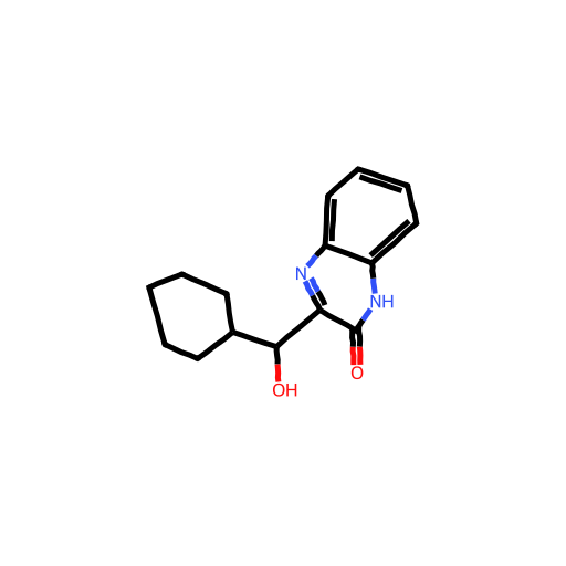 O=c1[nH]c2ccccc2nc1C(O)C1CCCCC1